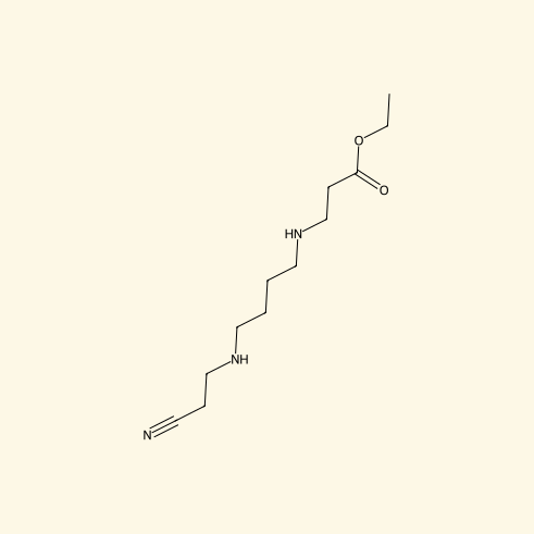 CCOC(=O)CCNCCCCNCCC#N